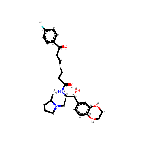 CCCC1CCCN1C[C@@H](NC(=O)CCCCCC(=O)c1ccc(F)cc1)[C@H](O)c1ccc2c(c1)OCCO2